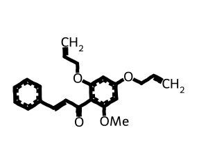 C=CCOc1cc(OC)c(C(=O)C=Cc2ccccc2)c(OCC=C)c1